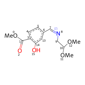 COC(=O)c1ccc(/C=N\CC(OC)OC)cc1O